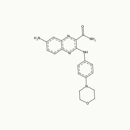 NC(=O)c1nc2cc(N)ccc2nc1Nc1ccc(N2CCOCC2)cc1